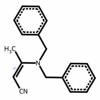 C/C(=C/C#N)N(Cc1ccccc1)Cc1ccccc1